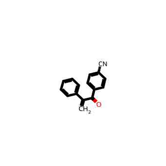 C=C(C(=O)c1ccc(C#N)cc1)c1ccccc1